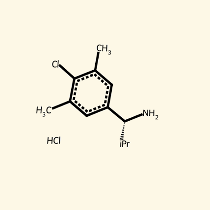 Cc1cc([C@H](N)C(C)C)cc(C)c1Cl.Cl